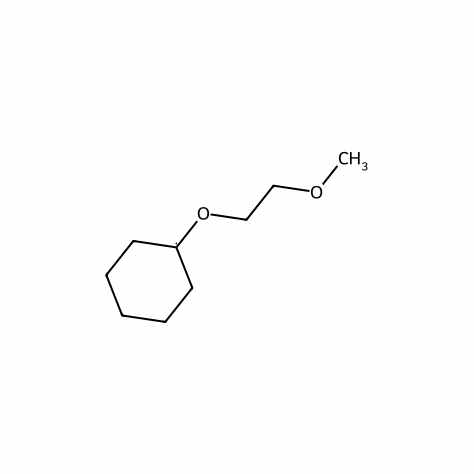 COCCO[C]1CCCCC1